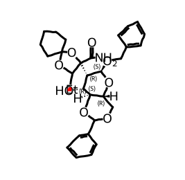 CCC1OC2(CCCCC2)OC1(C(N)=O)[C@@H]1[C@@H](OCc2ccccc2)O[C@@H]2COC(c3ccccc3)O[C@H]2[C@@H]1O